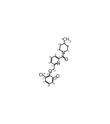 CC1CCN(C(=O)c2cccc(COc3c(Cl)cccc3Cl)n2)CC1